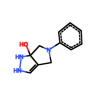 OC12CN(c3ccccc3)CC1=CNN2